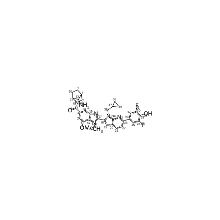 COc1cc(C(=O)N2CC3CCC2C3N)cc2nc(-c3cc4ccc(-c5cc(F)c(O)c(F)c5)nc4n3CC3CC3)n(C)c12